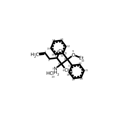 C=CCC(C)C(C)(N)C(OCC)(c1ccccc1)c1ccccc1.Cl